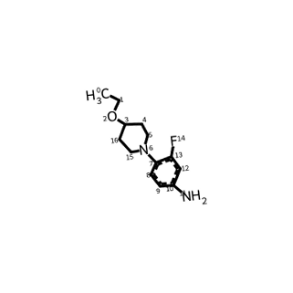 CCOC1CCN(c2ccc(N)cc2F)CC1